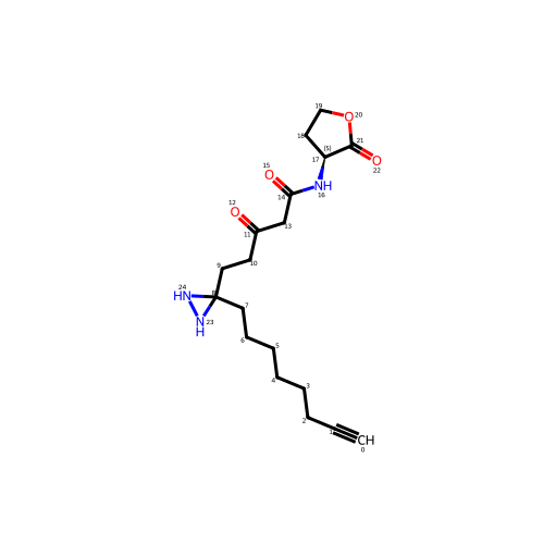 C#CCCCCCCC1(CCC(=O)CC(=O)N[C@H]2CCOC2=O)NN1